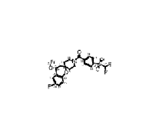 CC(C)O[C@@H]1CC2(CCN(C(=O)c3ccc(S(=O)(=O)C(F)F)cc3)CC2)Oc2ccc(F)cc21